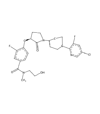 CN(CCO)C(=O)c1ccc(O[C@H]2CCN(C3CCN(c4ncc(Cl)cc4F)CC3)C2=O)c(F)c1